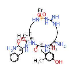 CCOP1(=O)NCCC[C@H](C)[C@@H](C(=O)N[C@@H](Cc2ccccc2)C(N)=O)NC(=O)[C@H](Cc2c(C)cc(O)cc2C)NC(=O)[C@H](N)CCCNC(=N)N1